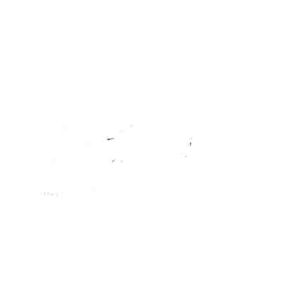 CCOC(=O)[C@H](C)N[P@@](=O)(OCC1O[C@@H](n2cnc3c(NC)nc(N)nc32)[C@@](F)(C(F)(F)F)[C@@H]1O)Oc1ccccc1